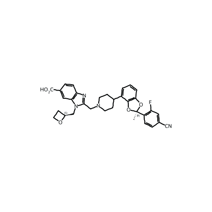 C[C@@]1(c2ccc(C#N)cc2F)Oc2cccc(C3CCN(Cc4nc5ccc(C(=O)O)cc5n4C[C@@H]4CCO4)CC3)c2O1